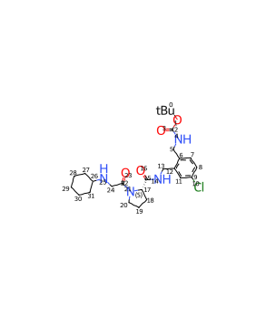 CC(C)(C)OC(=O)NCc1ccc(Cl)cc1CNC(=O)[C@@H]1CCCN1C(=O)CNC1CCCCC1